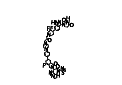 O=C(CN1CCN(c2ccc(-c3cc(F)c4c(c3)C(=O)N(C(C(=O)Nc3nccs3)c3ncn5c3CCC5)C4)cc2)CC1)CN1CCC(c2ccc3c(N4CCC(=O)NC4=O)n[nH]c3c2)C(F)(F)C1